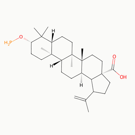 C=C(C)C1CC[C@]2(C(=O)O)CC[C@]3(C)[C@H](CC[C@@H]4[C@@]5(C)CC[C@H](OP)C(C)(C)[C@@H]5CC[C@]43C)C12